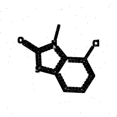 Cn1c(=O)sc2cccc(Cl)c21